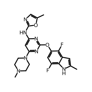 Cc1cc2c(F)c(Oc3nc(Nc4ncc(C)o4)cc(N4CCN(C)CC4)n3)cc(F)c2[nH]1